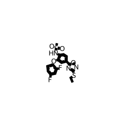 CCSc1noc(-c2ccc(NS(C)(=O)=O)c(Oc3ccc(F)cc3F)c2)n1